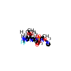 Cc1cnc(C(c2ccn3c(C(F)F)nnc3c2C)C(C)(C)C(=O)OC(C)(C)C)cc1CN1CC2(CCOCC2)Oc2nc(OCCN3CCCCC3)c(C)cc2S1(=O)=O